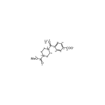 COC(=O)N1CCN(C(=O)c2ccc(C(=O)[O-])cc2)CC1.[Li+]